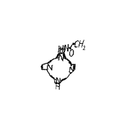 C=CC(=O)Nc1cc2cc3nc(cc4ccc(cc5nc(cc1[nH]2)C=C5)[nH]4)C=C3